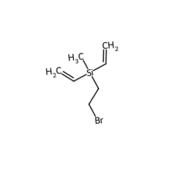 C=C[Si](C)(C=C)CCBr